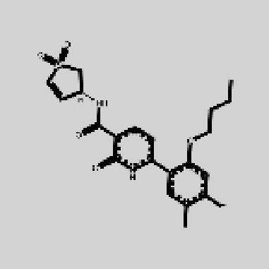 CCCCOc1cc(F)c(C)cc1-c1ccc(C(=O)N[C@@H]2C=CS(=O)(=O)C2)c(=O)[nH]1